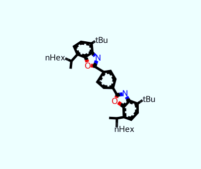 CCCCCCC(C)c1ccc(C(C)(C)C)c2nc(-c3ccc(-c4nc5c(C(C)(C)C)ccc(C(C)CCCCCC)c5o4)cc3)oc12